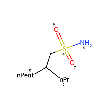 CCCCCC(CCC)CS(N)(=O)=O